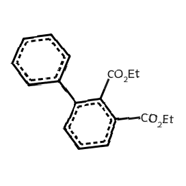 CCOC(=O)c1cccc(-c2ccccc2)c1C(=O)OCC